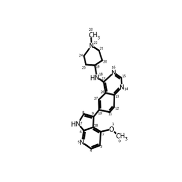 COc1ccnc2[nH]cc(-c3ccc4ncnc(NC5CCN(C)CC5)c4c3)c12